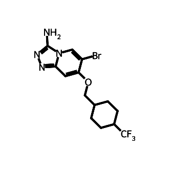 Nc1nnc2cc(OCC3CCC(C(F)(F)F)CC3)c(Br)cn12